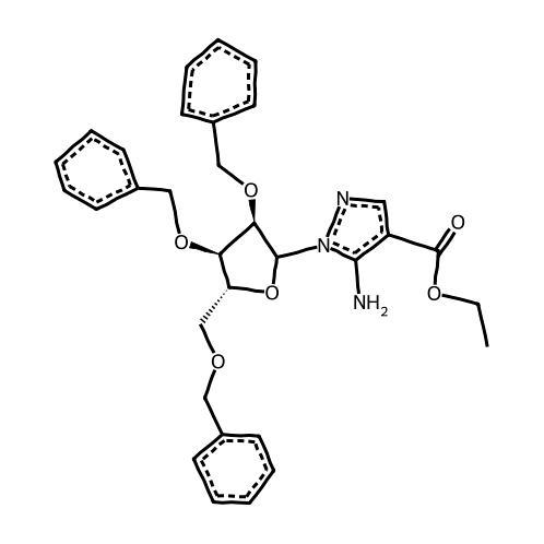 CCOC(=O)c1cnn(C2O[C@H](COCc3ccccc3)[C@@H](OCc3ccccc3)[C@H]2OCc2ccccc2)c1N